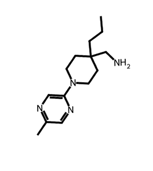 CCCC1(CN)CCN(c2cnc(C)cn2)CC1